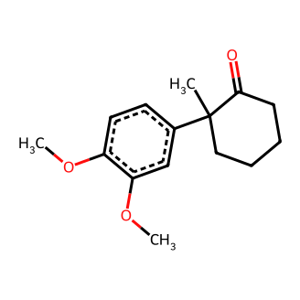 COc1ccc(C2(C)CCCCC2=O)cc1OC